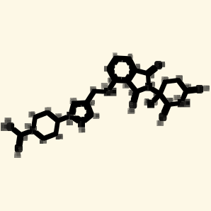 [2H]C1(N2C(=O)c3cccc(NCc4cnn(C5CCN(C(=O)O)CC5)c4)c3C2=O)CCC(=O)NC1=O